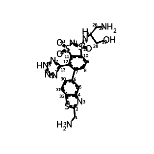 NCc1nc2cc(-c3ccc4c(c3-c3nn[nH]n3)S(=O)(=O)N=S4(=O)N[C@@H](CN)CO)ccc2s1